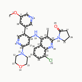 COc1cncc(-c2cnc(N3CCOCC3)cc2Nc2c(C)c(N3CCCC3=O)nc3c(Cl)cccc23)c1